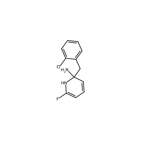 NC1(Cc2ccccc2Cl)C=CC=C(F)N1